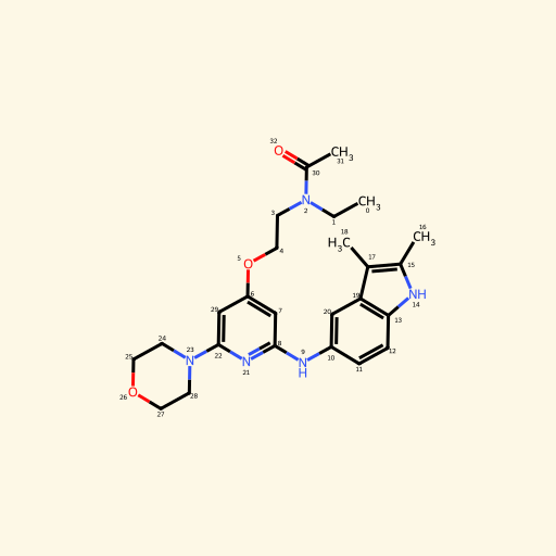 CCN(CCOc1cc(Nc2ccc3[nH]c(C)c(C)c3c2)nc(N2CCOCC2)c1)C(C)=O